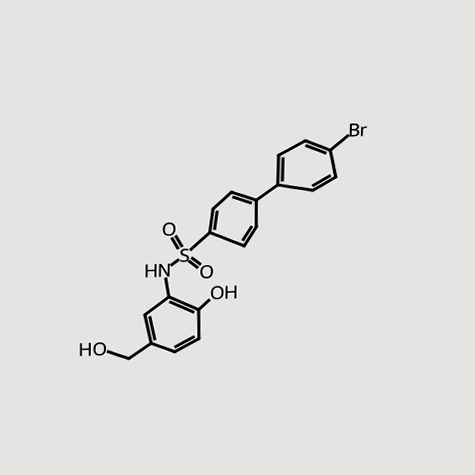 O=S(=O)(Nc1cc(CO)ccc1O)c1ccc(-c2ccc(Br)cc2)cc1